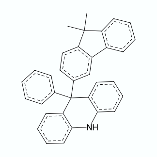 CC1(C)c2ccccc2-c2cc(C3(c4ccccc4)c4ccccc4Nc4ccccc43)ccc21